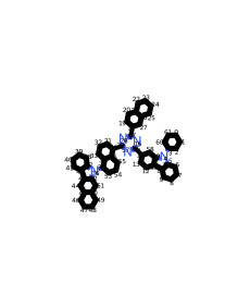 c1ccc(-n2c3ccccc3c3ccc(-c4nc(-c5ccc6ccccc6c5)nc(-c5cccc6c(-n7c8ccccc8c8cc9ccccc9cc87)cccc56)n4)cc32)cc1